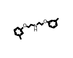 Cc1cccc(OCCNCCOc2cccc(C)c2)c1